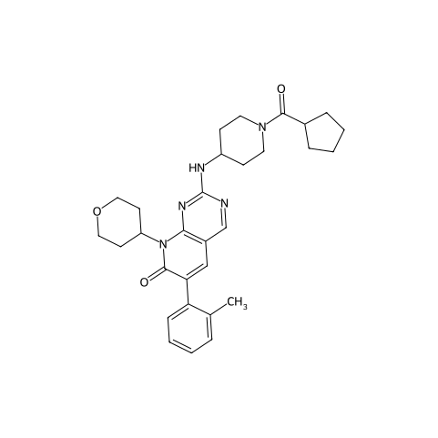 Cc1ccccc1-c1cc2cnc(NC3CCN(C(=O)C4CCCC4)CC3)nc2n(C2CCOCC2)c1=O